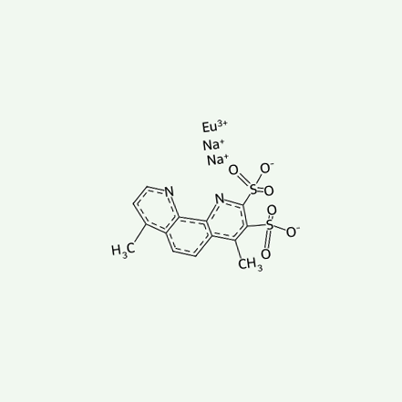 Cc1ccnc2c1ccc1c(C)c(S(=O)(=O)[O-])c(S(=O)(=O)[O-])nc12.[Eu+3].[Na+].[Na+]